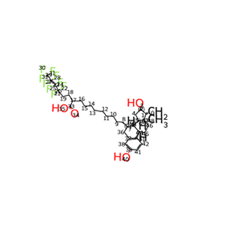 C=C1[C@H](O)C[C@H]2[C@@H]3[C@H](CCCCCCCCCC(CCC(F)(F)C(F)(F)C(F)(F)C(F)(F)F)C(=O)O)Cc4cc(O)ccc4[C@H]3CC[C@]12C